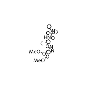 COCCOc1cc2ncnc(Oc3ccc(NC(=O)c4c5n(n(-c6ccccc6)c4=O)CCCC5)cc3Cl)c2cc1OCCOC